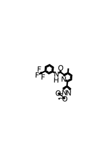 Cc1ccc(-c2cnn(S(C)(=O)=O)c2)nc1C(=O)Nc1cccc(C(F)(F)F)c1